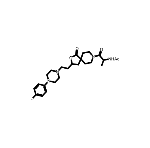 CC(=O)NC(C)C(=O)N1CCC2(CC1)CC(CCN1CCN(c3ccc(F)cc3)CC1)OC2=O